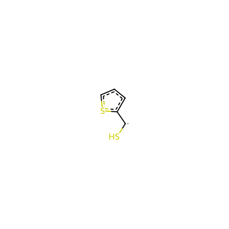 S[CH]c1cccs1